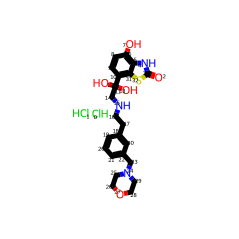 Cl.Cl.O=c1[nH]c2c(O)ccc(C(O)(O)CNCCc3cccc(CN4CCOCC4)c3)c2s1